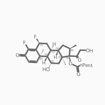 CCCCCC(=O)O[C@]1(C(=O)CO)[C@H](C)C[C@H]2[C@@H]3C[C@H](F)C4=C(F)C(=O)C=C[C@]4(C)[C@H]3[C@@H](O)C[C@@]21C